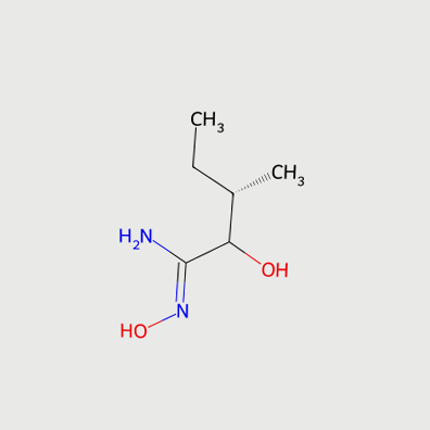 CC[C@H](C)C(O)/C(N)=N/O